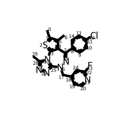 Cc1sc2c(c1C)C(c1ccc(Cl)cc1)=NN(Cc1ccnc(F)c1)c1nnc(C)n1-2